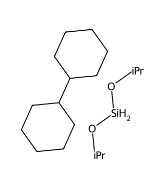 C1CCC(C2CCCCC2)CC1.CC(C)O[SiH2]OC(C)C